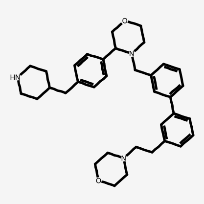 c1cc(CCN2CCOCC2)cc(-c2cccc(CN3CCOCC3c3ccc(CC4CCNCC4)cc3)c2)c1